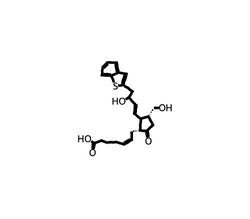 O=C(O)CCC/C=C\C[C@H]1C(=O)C[C@@H](CO)C1/C=C/C(O)Cc1cc2ccccc2s1